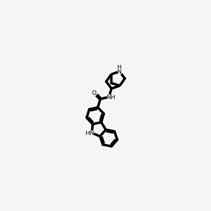 O=C(NC1CC2CC1CN2)c1ccc2[nH]c3ccccc3c2c1